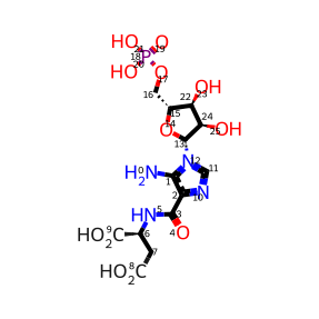 Nc1c(C(=O)N[C@@H](CC(=O)O)C(=O)O)ncn1[C@@H]1O[C@H](COP(=O)(O)O)[C@@H](O)[C@H]1O